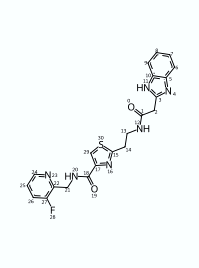 O=C(Cc1nc2ccccc2[nH]1)NCCc1nc(C(=O)NCc2ncccc2F)cs1